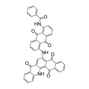 O=C(Nc1cccc2c1C(=O)c1cccc(Nc3cc4c(=O)c5ccccc5[nH]c4c4c3C(=O)c3ccccc3C4=O)c1C2=O)c1ccccc1